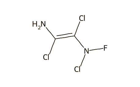 N/C(Cl)=C(\Cl)N(F)Cl